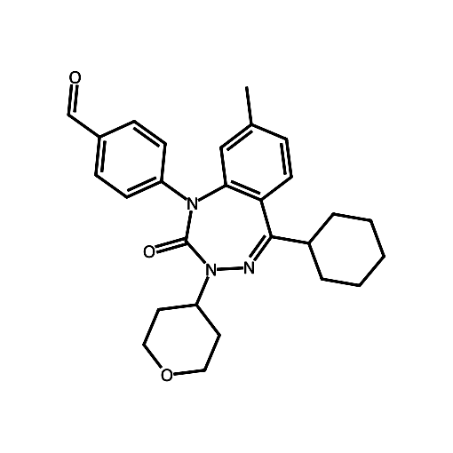 Cc1ccc2c(c1)N(c1ccc(C=O)cc1)C(=O)N(C1CCOCC1)N=C2C1CCCCC1